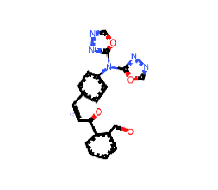 O=Cc1ccccc1C(=O)/C=C\c1ccc(N(c2nnco2)c2nnco2)cc1